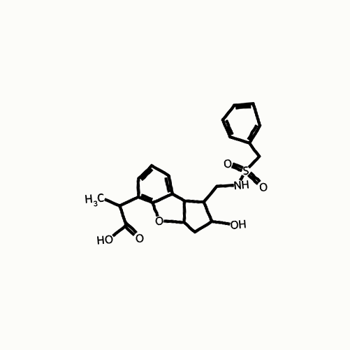 CC(C(=O)O)c1cccc2c1OC1CC(O)C(CNS(=O)(=O)Cc3ccccc3)C21